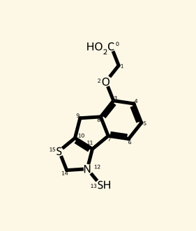 O=C(O)COc1cccc2c1CC1=C2N(S)CS1